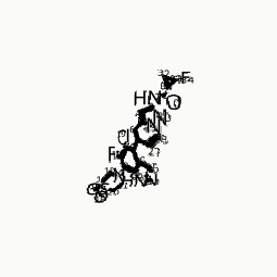 O=C(Nc1cc2cc(-c3c(Cl)c(F)c(N4CCS(=O)(=O)CC4)c4[nH]ncc34)ccn2n1)[C@@H]1C[C@@H]1F